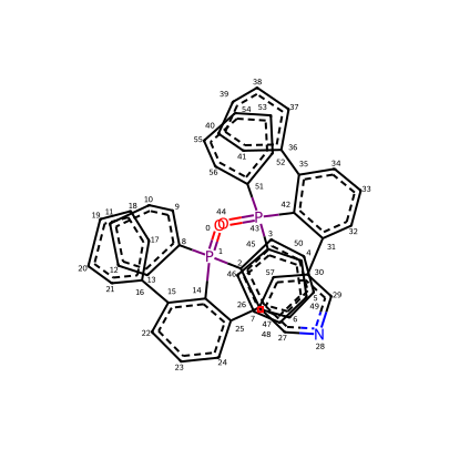 O=P(c1ccccc1)(c1ccccc1)c1c(-c2ccccc2)cccc1-c1cncc(-c2cccc(-c3ccccc3)c2P(=O)(c2ccccc2)c2ccccc2)c1